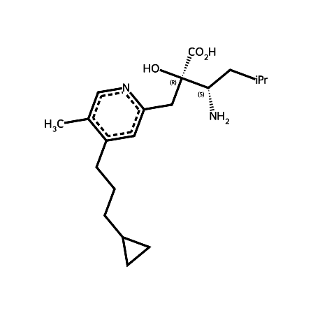 Cc1cnc(C[C@](O)(C(=O)O)[C@@H](N)CC(C)C)cc1CCCC1CC1